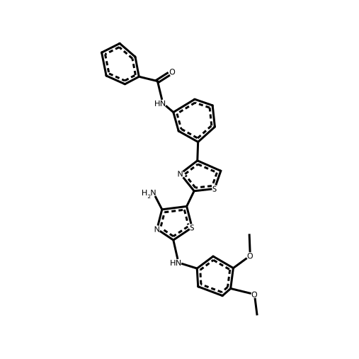 COc1ccc(Nc2nc(N)c(-c3nc(-c4cccc(NC(=O)c5ccccc5)c4)cs3)s2)cc1OC